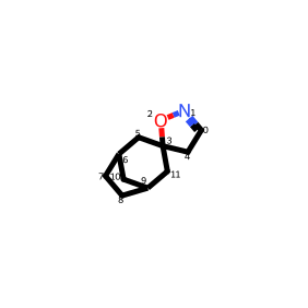 C1=NOC2(C1)CC1CCC(C1)C2